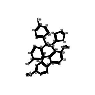 CC(C)(C)c1ccc2c(c1)Cc1c-2ccc(C(C)(C)C)[c]1[Zr]([C]1=CC=CC1)=[C](c1ccc(I)cc1)c1ccc(I)cc1